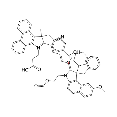 COc1ccc2ccc3c(c2c1)C(Cc1ccccc1)(C1C=CCCC1)/C(=C(C)/C=C/C=C(\C#N)C1=[N+](CCC(=O)O)c2c(c4ccccc4c4ccccc24)C1(C)Cc1ccc(C(=O)O)cc1)N3CCOC=O